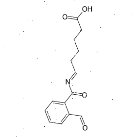 O=Cc1ccccc1C(=O)N=CCCCCC(=O)O